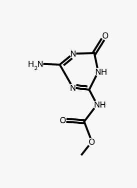 COC(=O)Nc1nc(N)nc(=O)[nH]1